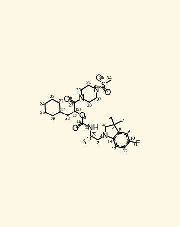 C[C@@H](CN1CC(C)(C)c2cc(F)ccc21)NC(=O)O[C@@H](CC1CCCCC1)C(=O)N1CCN(S(C)(=O)=O)CC1